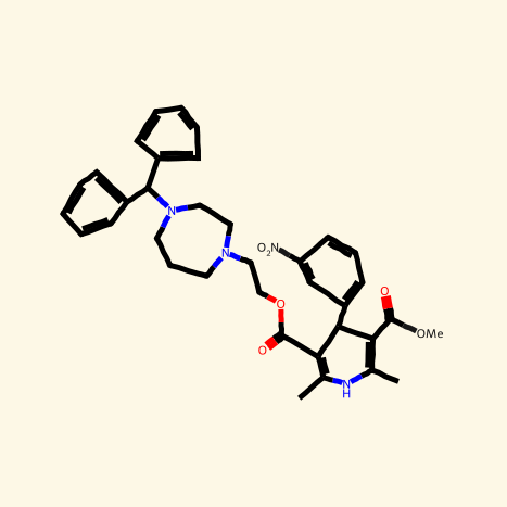 COC(=O)C1=C(C)NC(C)=C(C(=O)OCCN2CCCN(C(c3ccccc3)c3ccccc3)CC2)C1c1cccc([N+](=O)[O-])c1